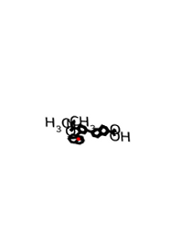 CN(C)C(=O)c1ccc(-c2ccc3cc(C(=O)O)ccc3c2)cc1C12CC3CC(CC(C3)C1)C2